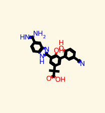 CC(C)(C(=O)O)c1cc(-c2nc3cc(C(=N)N)ccc3[nH]2)c(O)c(-c2cc(C#N)ccc2O)c1